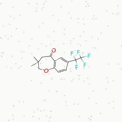 CC1(C)COc2ccc(C(F)(F)C(F)(F)F)cc2C(=O)C1